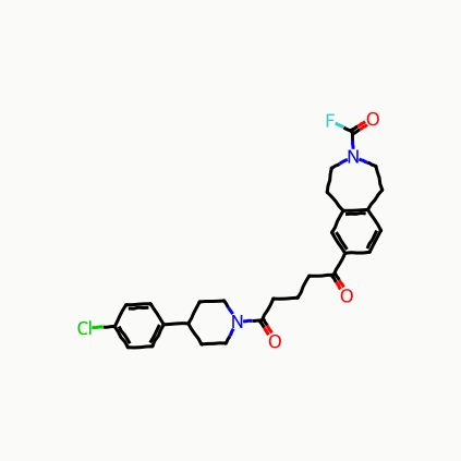 O=C(CCCC(=O)N1CCC(c2ccc(Cl)cc2)CC1)c1ccc2c(c1)CCN(C(=O)F)CC2